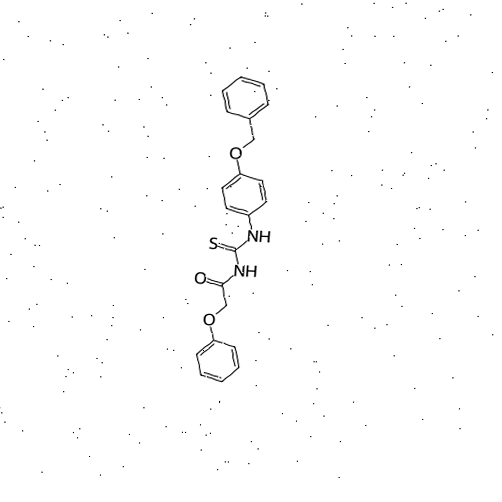 O=C(COc1ccccc1)NC(=S)Nc1ccc(OCc2ccccc2)cc1